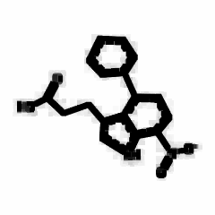 O=C(O)CCc1c[nH]c2c([N+](=O)[O-])ccc(-c3ccccc3)c12